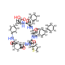 O=C(O)[C@@H]1Cc2ccc(cc2)NC(=O)[C@@H]2CCCC[C@H]2C(=O)N[C@H](Cc2cccs2)C(=O)N[C@@H](Cc2ccc(-c3ccccc3)cc2)C(=O)N[C@H](Cc2ccccc2)C(=O)N1